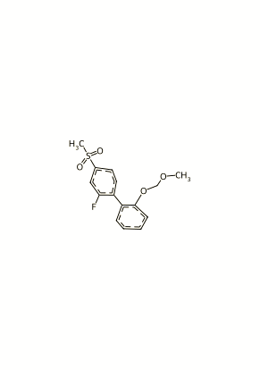 COCOc1ccccc1-c1ccc(S(C)(=O)=O)cc1F